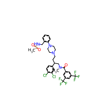 CN(CC(CCN1CCN(c2ccccc2CNS(C)(=O)=O)CC1)c1ccc(Cl)c(Cl)c1)C(=O)c1cc(C(F)(F)F)cc(C(F)(F)F)c1